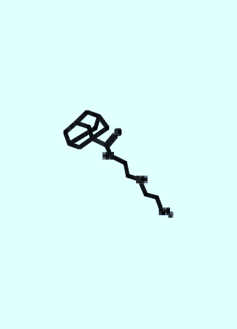 NCCNCCNC(=O)C12CC3CC(CC(C3)C1)C2